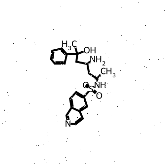 C[C@H](CC(N)CC(C)(O)c1ccccc1)NS(=O)(=O)c1ccc2cnccc2c1